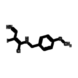 COc1ccc(CN/C(Cl)=C(/I)C=N)cc1